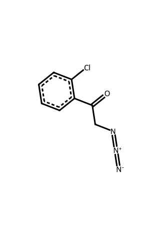 [N-]=[N+]=NCC(=O)c1ccccc1Cl